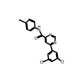 Cc1ccc(NC(=O)c2cc(-c3cc(Cl)cc(Cl)c3)ncn2)cc1